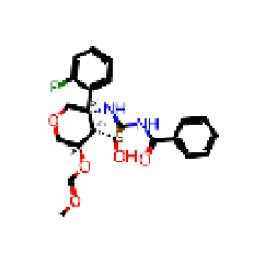 COCO[C@H]1COC[C@@](NC(=S)NC(=O)c2ccccc2)(c2ccccc2F)[C@@H]1CO